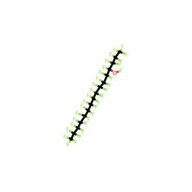 FOC(F)(C(F)(F)C(F)(F)C(F)(F)F)C(F)(F)C(F)(F)C(F)(F)C(F)(F)C(F)(F)C(F)(F)C(F)(F)C(F)(F)C(F)(F)C(F)(F)C(F)(F)C(F)(F)F